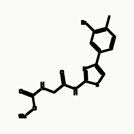 Cc1ccc(-c2csc(NC(=O)CNC(=O)OC(C)(C)C)n2)cc1Br